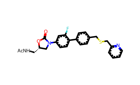 CC(=O)NC[C@H]1CN(c2ccc(-c3ccc(CSCc4ccccn4)cc3)c(F)c2)C(=O)O1